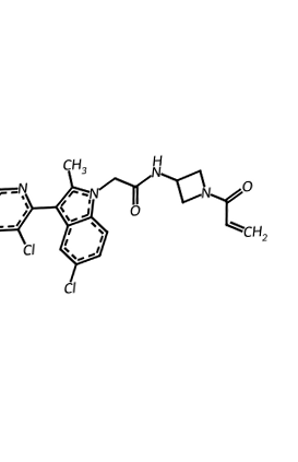 C=CC(=O)N1CC(NC(=O)Cn2c(C)c(-c3ncccc3Cl)c3cc(Cl)ccc32)C1